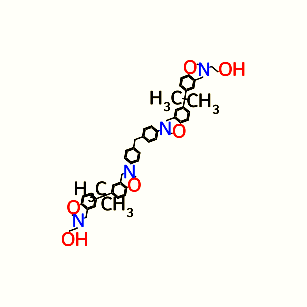 CC(C)(c1ccc2c(c1)CN(CCO)CO2)c1ccc2c(c1)CN(c1ccc(Cc3ccc(N4COc5ccc(C(C)(C)c6ccc7c(c6)CN(CCO)CO7)cc5C4)cc3)cc1)CO2